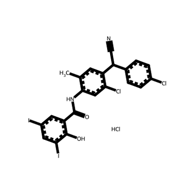 Cc1cc(C(C#N)c2ccc(Cl)cc2)c(Cl)cc1NC(=O)c1cc(I)cc(I)c1O.Cl